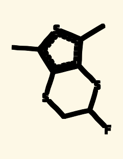 Cc1sc(C)c2c1SCC(F)S2